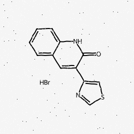 Br.O=c1[nH]c2ccccc2cc1-c1cscn1